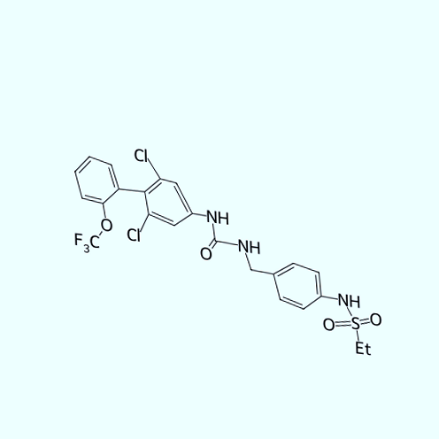 CCS(=O)(=O)Nc1ccc(CNC(=O)Nc2cc(Cl)c(-c3ccccc3OC(F)(F)F)c(Cl)c2)cc1